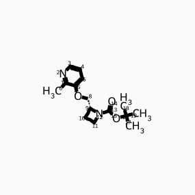 Cc1ncccc1OC[C@H]1CCN1C(=O)OC(C)(C)C